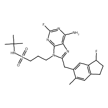 Cc1cc2c(cc1Cc1nc3c(N)nc(F)nc3n1CCCS(=O)(=O)NC(C)(C)C)C(F)CC2